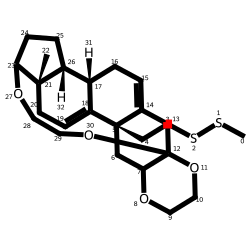 CSSCC[C@]12CC3OCCOC34CC1=CC[C@@H]1C2=CC[C@]2(C)C(CC[C@H]12)OCCO4